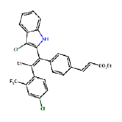 CCOC(=O)/C=C/c1ccc(/C(=C(/CC)c2ccc(Cl)cc2C(F)(F)F)c2[nH]c3ccccc3c2Cl)cc1